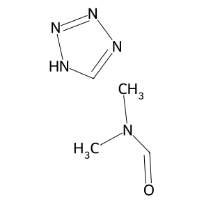 CN(C)C=O.c1nnn[nH]1